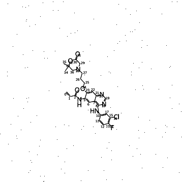 C=CC(=O)Nc1cc2c(Nc3ccc(F)c(Cl)c3)ncnc2cc1OCCCN1CC(=O)OC(C)(C)C1